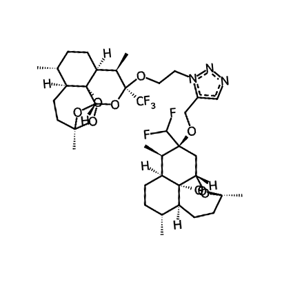 C[C@@H]1CC[C@H]2[C@@H](C)[C@](OCCn3nncc3CO[C@@]3(C(F)F)C[C@@H]4O[C@]5(C)CC[C@H]6[C@H](C)CC[C@@H]([C@H]3C)[C@@]46OO5)(C(F)(F)F)O[C@@H]3O[C@]4(C)CC[C@@H]1[C@]32OO4